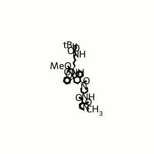 COC(=O)[C@@H](CCCCNC(=O)OC(C)(C)C)NC(=O)[C@@]1(c2ccccc2)CC[C@H](C(=O)N2CCC(NC(=O)c3cccn(C)c3=O)CC2)c2ccccc21